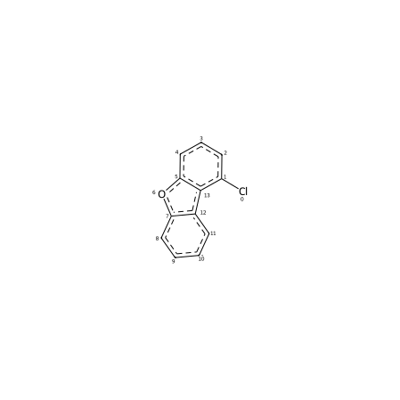 Clc1cccc2oc3cc[c]cc3c12